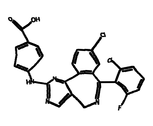 O=C(O)c1ccc(Nc2ncc3c(n2)-c2ccc(Cl)cc2C(c2c(F)cccc2Cl)=NC3)cc1